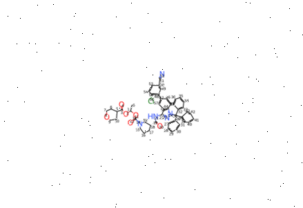 CC(OC(=O)C1CCOCC1)OC(=O)N1CCC[C@@H](C(=O)Nc2nn(C(c3ccccc3)(c3ccccc3)c3ccccc3)c3ccc(-c4cc(C#N)ccc4Cl)cc23)C1